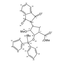 COC(=O)C1CC(N2C(=O)c3ccccc3C2=O)C(OC)C1O[Si](c1ccccc1)(c1ccccc1)C(C)(C)C